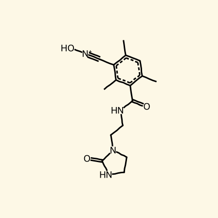 Cc1cc(C)c(C(=O)NCCN2CCNC2=O)c(C)c1C#[N+]O